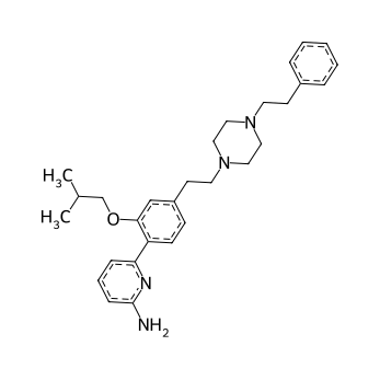 CC(C)COc1cc(CCN2CCN(CCc3ccccc3)CC2)ccc1-c1cccc(N)n1